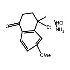 CCC1(C)CCC(=O)c2ccc(OC)cc21.CN.Cl